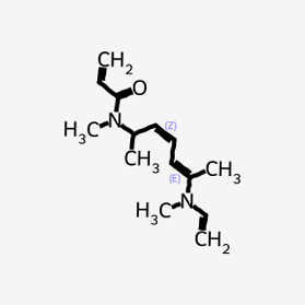 C=CC(=O)N(C)C(C)/C=C\C=C(/C)N(C)C=C